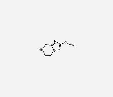 CSc1cn2c(n1)CNCC2